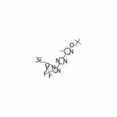 Cc1cc(OCC(C)(C)C)ncc1-c1cnc(-c2ncc(C(F)(F)F)n2COCC[Si](C)(C)C)cn1